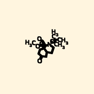 COC(=O)C12CCC(=O)CC1CCN(OC(C)(C)C)C2=C=O